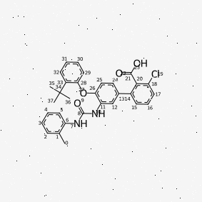 Cc1ccccc1NC(=O)Nc1cc(-c2cccc(Cl)c2C(=O)O)ccc1Oc1ccccc1C(C)(C)C